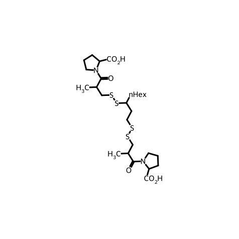 CCCCCCC(CCSSCC(C)C(=O)N1CCCC1C(=O)O)SSCC(C)C(=O)N1CCCC1C(=O)O